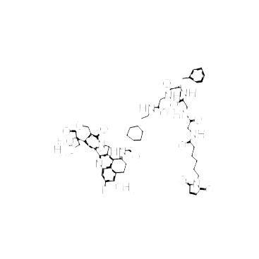 CC[C@@]1(O)C(=O)OCc2c1cc1n(c2=O)Cc2c-1nc1cc(F)c(C)c3c1c2[C@@H](NC(=O)[C@H]1CC[C@@H](CCNC(=O)CNC(=O)[C@H](Cc2ccccc2)NC(=O)CNC(=O)CNC(=O)CCCCCN2C(=O)C=CC2=O)CC1)CC3